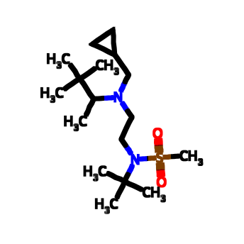 CC(N(CCN(C(C)(C)C)S(C)(=O)=O)CC1CC1)C(C)(C)C